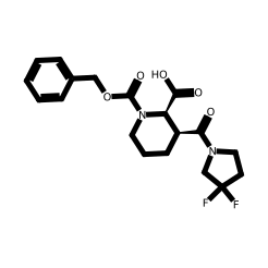 O=C(O)[C@H]1[C@@H](C(=O)N2CCC(F)(F)C2)CCCN1C(=O)OCc1ccccc1